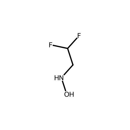 ONCC(F)F